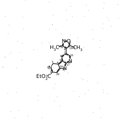 CCOC(=O)C1=NCC2=c3cc(-c4c(C)noc4C)cnc3=NC2=C1